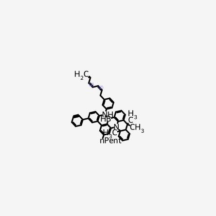 C=C/C=C\C=C/Cc1cccc(Nc2ccc(-c3c#cccc3)cc2-c2cc(CCCCC)cc3c2Bc2cccc4c2N3C2(C)C=CC=CC2C4(C)C)c1